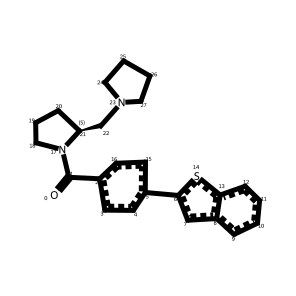 O=C(c1ccc(-c2cc3ccccc3s2)cc1)N1CCC[C@H]1CN1CCCC1